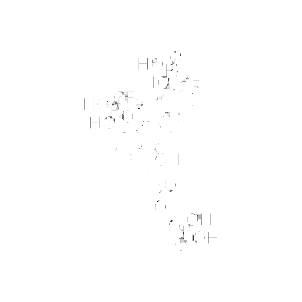 CC(CCC(=O)OCOP(=O)(O)O)C1CCC2C3C(CC(O)C12C)C1(C)CCC(F)(OP(=O)(O)O)CC1CC3(F)OP(=O)(O)O